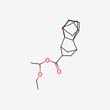 CCOC(C)OC(=O)C1CC2CC1C13C4CCC(C4)C21C1CCC3C1